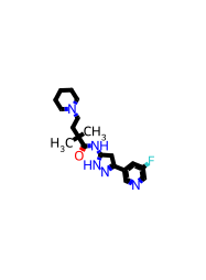 CC(C)(CCN1CCCCC1)C(=O)NC1CC(c2cncc(F)c2)=NN1